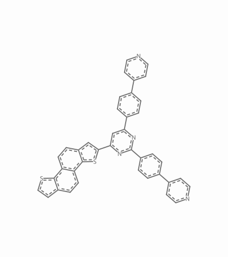 c1cc(-c2ccc(-c3cc(-c4cc5ccc6c(ccc7ccsc76)c5s4)nc(-c4ccc(-c5ccncc5)cc4)n3)cc2)ccn1